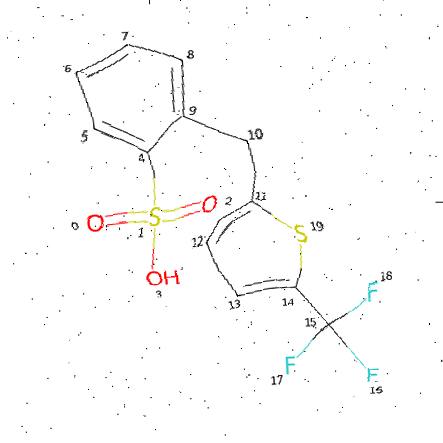 O=S(=O)(O)c1ccccc1Cc1ccc(C(F)(F)F)s1